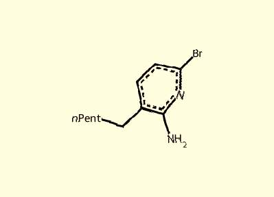 CCCCCCc1ccc(Br)nc1N